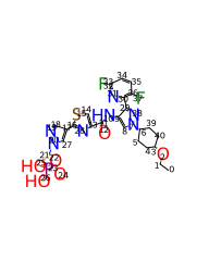 CCO[C@H]1CC[C@H](n2cc(NC(=O)c3csc(-c4cnn(COP(=O)(O)O)c4)n3)c(-c3nc(F)ccc3F)n2)CC1